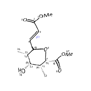 COC(=O)/C=C/C1O[C@H](C(=O)OC)[C@H](C)[C@H](O)[C@@H]1C